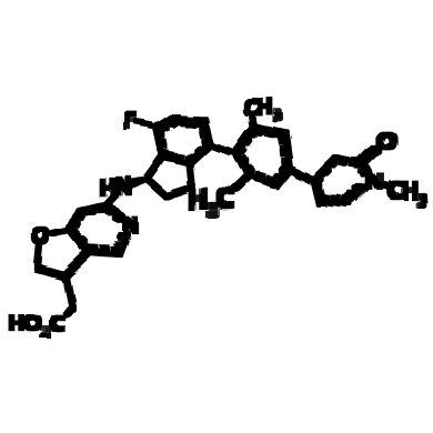 Cc1cc(-c2ccn(C)c(=O)c2)cc(C)c1-c1ccc(F)c2c1CC[C@H]2Nc1cc2c(cn1)C(CC(=O)O)CO2